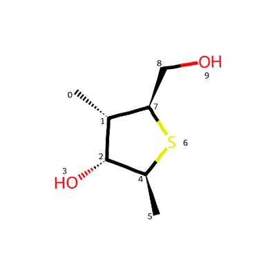 C[C@H]1[C@@H](O)[C@H](C)S[C@@H]1CO